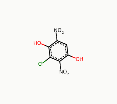 O=[N+]([O-])c1cc(O)c([N+](=O)[O-])c(Cl)c1O